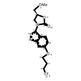 COC[C@@H]1CN(c2snc3cc(OCCCC(F)(F)F)ccc23)C(=O)O1